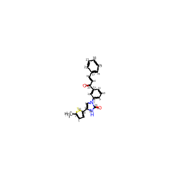 Cc1ccc(-c2cn(-c3cccc(C(=O)C=Cc4ccccc4)c3)c(=O)[nH]2)s1